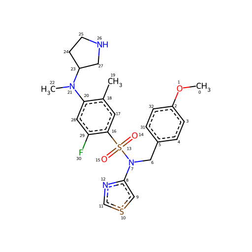 COc1ccc(CN(c2cscn2)S(=O)(=O)c2cc(C)c(N(C)C3CCNC3)cc2F)cc1